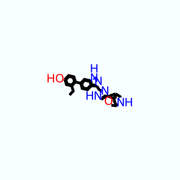 CCc1cc(O)ccc1-c1ccc2c(-c3nc(C4=C5CNC(COC5)C4)c[nH]3)n[nH]c2c1